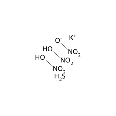 O=[N+]([O-])O.O=[N+]([O-])O.O=[N+]([O-])[O-].S.[K+]